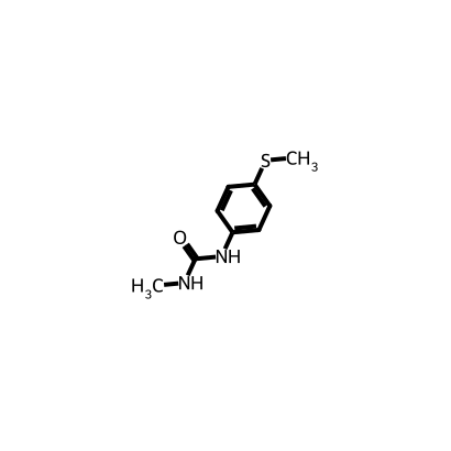 CNC(=O)Nc1ccc(SC)cc1